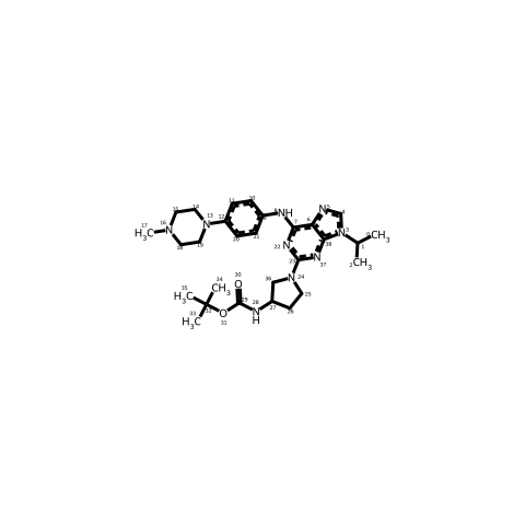 CC(C)n1cnc2c(Nc3ccc(N4CCN(C)CC4)cc3)nc(N3CCC(NC(=O)OC(C)(C)C)C3)nc21